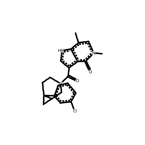 Cc1cn(C)c(=O)c2c(C(=O)N3CCC4(c5cccc(Cl)c5)CC4C3)c[nH]c12